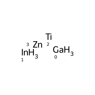 [GaH3].[InH3].[Ti].[Zn]